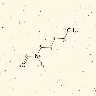 CCCCCN(I)[C]=O